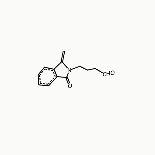 C=C1c2ccccc2C(=O)N1CCCC=O